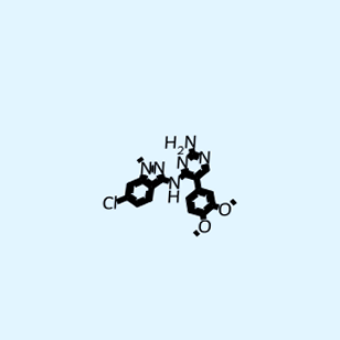 COc1ccc(-c2cnc(N)nc2Nc2nn(C)c3cc(Cl)ccc23)cc1OC